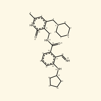 Cc1cc(CN2CCOCC2)c(CNC(=O)c2cccc(NC3CCCC3)c2C=N)c(=O)[nH]1